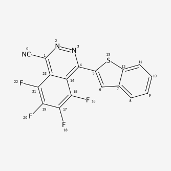 N#Cc1nnc(-c2cc3ccccc3s2)c2c(F)c(F)c(F)c(F)c12